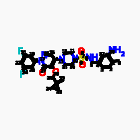 Cc1ccc(CNS(=O)(=O)N2CCN(c3cnn(-c4cc(F)cc(F)c4)c(=O)c3OCC3(C)CC3)CC2)cc1N